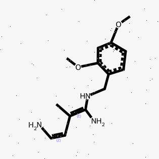 COc1ccc(CN/C(N)=C(C)/C=C\N)c(OC)c1